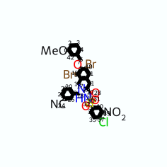 COc1cccc(COc2c(Br)cc3c(c2Br)CN(Cc2cccc(C#N)c2)[C@H](C(=O)NS(=O)(=O)c2ccc(Cl)c([N+](=O)[O-])c2)C3)c1